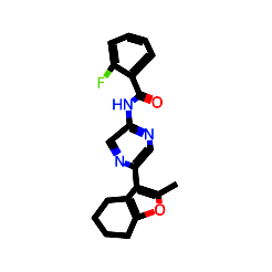 Cc1oc2c(c1-c1cnc(NC(=O)c3ccccc3F)cn1)CCCC2